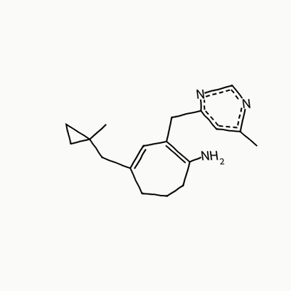 Cc1cc(CC2=C(N)CCCC(CC3(C)CC3)=C2)ncn1